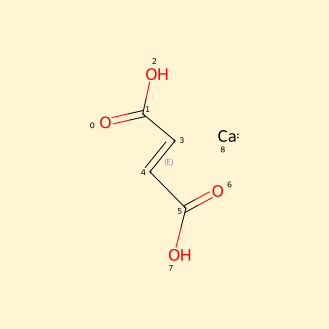 O=C(O)/C=C/C(=O)O.[Ca]